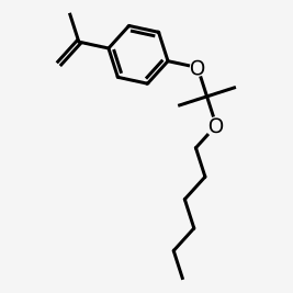 C=C(C)c1ccc(OC(C)(C)OCCCCCC)cc1